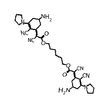 N#CC1=C(N2CCCC2)CC(N)C/C1=C(/C#N)C(=O)OCCCCCCOC(=O)/C(C#N)=C1\CC(N)CC(N2CCCC2)=C1C#N